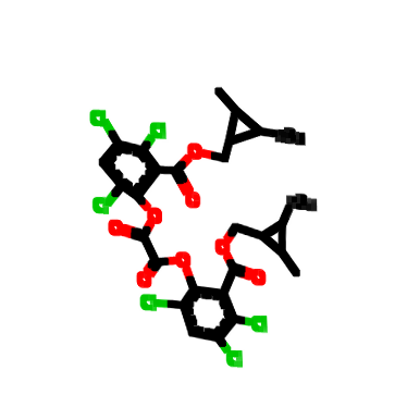 CCCCC1C(C)C1COC(=O)c1c(Cl)c(Cl)cc(Cl)c1OC(=O)C(=O)Oc1c(Cl)cc(Cl)c(Cl)c1C(=O)OCC1C(C)C1CCCC